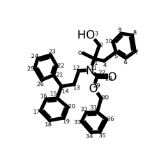 CC(CO)(Cc1ccccc1)N(CCC(c1ccccc1)c1ccccc1)C(=O)OCc1ccccc1